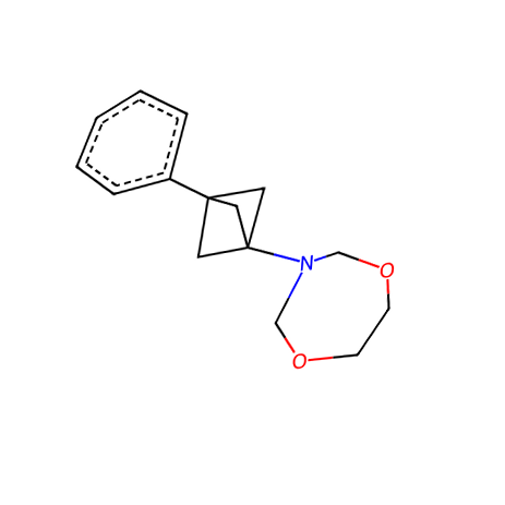 c1ccc(C23CC(N4COCCOC4)(C2)C3)cc1